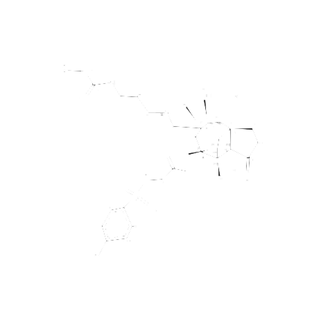 Cc1ccc(S(=O)(=O)OCC(=O)O[C@@H]2C[C@](C)(CNCCCNC(=O)OC(C)(C)C)[C@@H](O)[C@H](C)[C@]34CCC(=O)[C@H]3[C@@]2(C)[C@H](C)CC4)cc1